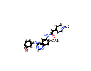 CCN1CCC(=CC(=O)Nc2cc3c(Nc4cccc(Br)c4)ncnc3cc2OC)CC1